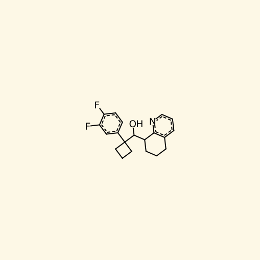 OC(C1CCCc2cccnc21)C1(c2ccc(F)c(F)c2)CCC1